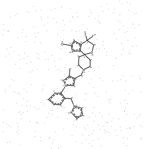 Cc1nn(-c2ncccc2Cn2cccn2)cc1CN1CCC2(CC1)OCC(F)(F)c1cc(Cl)sc12